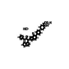 Cl.O=C(O)CC1(O)CCN(c2ccc(-c3ccc4cn(C(C(=O)Nc5nccs5)c5ncn6c5CCC6)nc4c3F)cc2)CC1